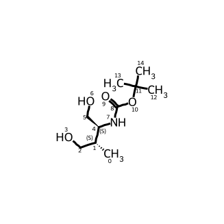 C[C@H](CO)[C@@H](CO)NC(=O)OC(C)(C)C